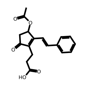 CC(=O)OC1CC(=O)C(CCC(=O)O)=C1C=Cc1ccccc1